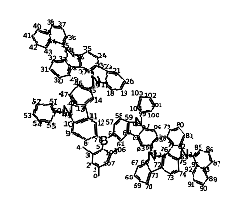 Cc1cc(C)c(B(c2ccc3c(c2)c2cc(-n4c5ccccc5c5ccc6c(c7ccccc7n6-c6cccc7ccccc67)c54)ccc2n3-c2ccccc2)c2ccc3c(c2)c2cc(-n4c5ccccc5c5ccc6c(c7ccccc7n6-c6cccc7ccccc67)c54)ccc2n3-c2ccccc2)c(C)c1